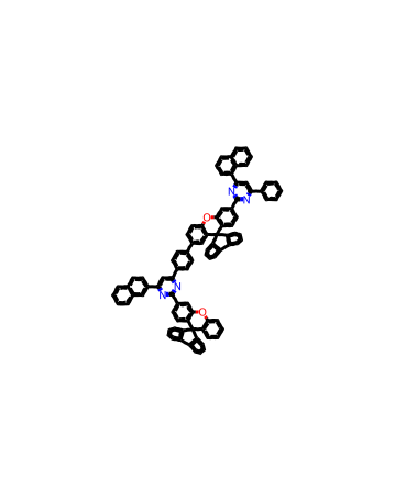 c1ccc(-c2cc(-c3cccc4ccccc34)nc(-c3ccc4c(c3)Oc3ccc(-c5ccc(-c6cc(-c7ccc8ccccc8c7)nc(-c7ccc8c(c7)Oc7ccccc7C87c8ccccc8-c8ccccc87)n6)cc5)cc3C43c4ccccc4-c4ccccc43)n2)cc1